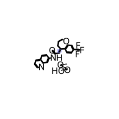 CS(=O)(=O)O.O=C(/C=C1\CCCOc2cc(C(F)(F)F)ccc21)Nc1ccc2cccnc2c1